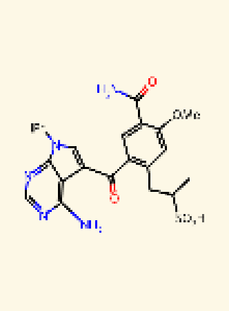 COc1cc(CC(C)S(=O)(=O)O)c(C(=O)c2cn(C(C)C)c3ncnc(N)c23)cc1C(N)=O